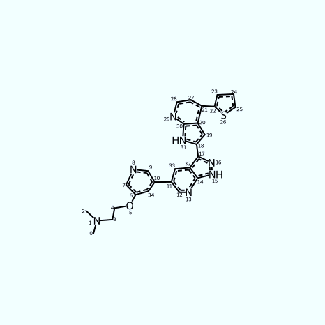 CN(C)CCOc1cncc(-c2cnc3[nH]nc(-c4cc5c(-c6cccs6)ccnc5[nH]4)c3c2)c1